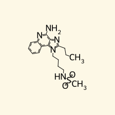 CCCc1nc2c(N)nc3ccccc3c2n1CCCCNS(C)(=O)=O